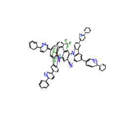 N#Cc1cc(-n2c3ccc(-c4ccc(-c5ccccc5)nc4)cc3c3cc(-c4ccc(-c5ccccc5)nc4)ccc32)c(-c2c(C(F)(F)F)cccc2C(F)(F)F)cc1-n1c2ccc(-c3ccc(-c4ccccc4)nc3)cc2c2cc(-c3ccc(-c4ccccc4)nc3)ccc21